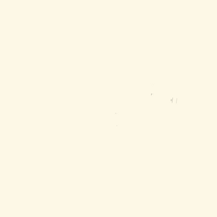 CCOCCOC(=O)CCC(=O)O